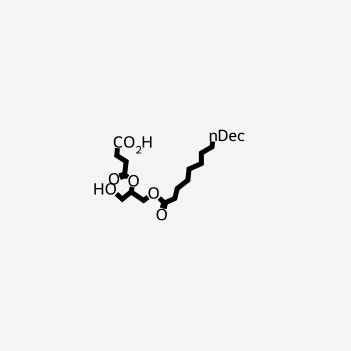 CCCCCCCCCCCCCCCCCC(=O)OCC(CO)OC(=O)CCC(=O)O